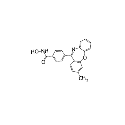 Cc1ccc2c(c1)Oc1ccccc1N=C2c1ccc(C(=O)NO)cc1